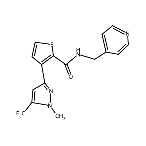 Cn1nc(-c2ccsc2C(=O)NCc2ccncc2)cc1C(F)(F)F